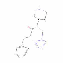 O=C(CCc1ccccc1)C(Cn1cncn1)C1CCNCC1